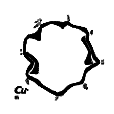 C1=C\CC/C=C\CC/1.[Cu]